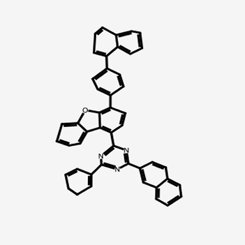 C1=CC(c2nc(-c3ccc4ccccc4c3)nc(-c3ccc(-c4ccc(-c5cccc6ccccc56)cc4)c4oc5ccccc5c34)n2)=CCC1